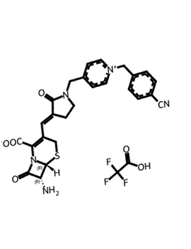 N#Cc1ccc(C[n+]2ccc(CN3CCC(=CC4=C(C(=O)[O-])N5C(=O)[C@@H](N)[C@H]5SC4)C3=O)cc2)cc1.O=C(O)C(F)(F)F